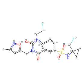 Cc1cc(Cn2c(=O)c3cc(S(=O)(=O)NC4(CF)CC4)ccc3n(CCF)c2=O)on1